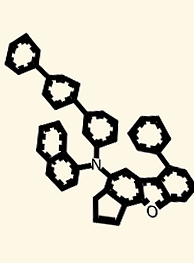 C1=Cc2c(c(N(c3cccc(-c4ccc(-c5ccccc5)cc4)c3)c3cccc4ccccc34)cc3c2oc2cccc(-c4ccccc4)c23)C1